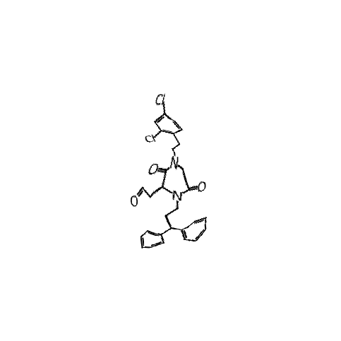 O=CCC1C(=O)N(CCc2ccc(Cl)cc2Cl)CC(=O)N1CCC(c1ccccc1)c1ccccc1